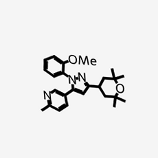 COc1ccccc1-n1nc(C2CC(C)(C)OC(C)(C)C2)cc1-c1ccc(C)nc1